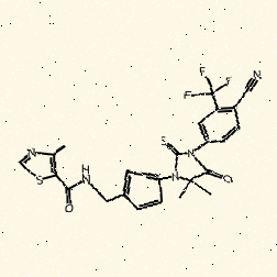 Cc1ncsc1C(=O)NCc1ccc(N2C(=S)N(c3ccc(C#N)c(C(F)(F)F)c3)C(=O)C2(C)C)cc1